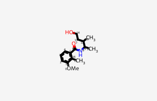 COc1cccc(C(=O)NC(C)C(C)CCO)c1C